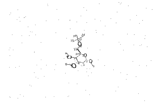 CO[C@@H]1C[C@H](OC)[C@@H](OC)[C@@H](COC(C)(C)C)O1